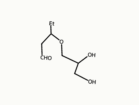 CCC(CC=O)OCC(O)CO